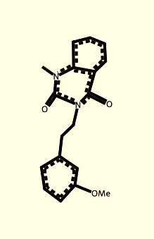 COc1cccc(CCn2c(=O)c3ccccc3n(C)c2=O)c1